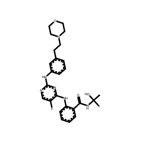 CC(O)(I)NC(=O)c1ccccc1Nc1nc(Nc2cccc(CCN3CCOCC3)c2)ncc1F